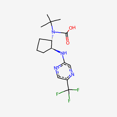 CC(C)(C)N(C(=O)O)[C@H]1CCC[C@@H]1Nc1cnc(C(F)(F)F)cn1